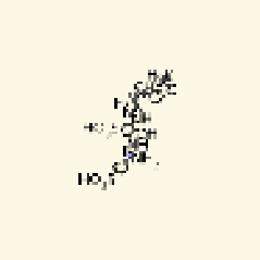 C=CS(=O)(=O)c1cccc(N(C)c2nc(F)nc(Nc3cc(S(=O)(=O)O)cc(N/N=C(\N)c4ccc(S(=O)(=O)O)cc4)c3O)n2)c1